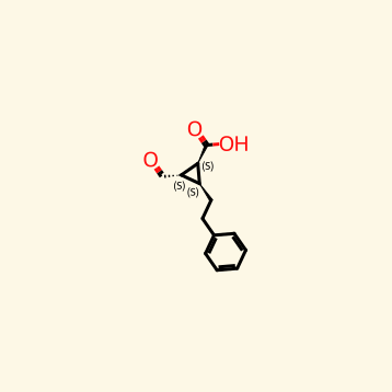 O=C[C@H]1[C@H](CCc2ccccc2)[C@@H]1C(=O)O